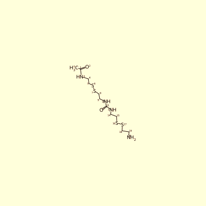 CC(=O)NCCSSCCNC(=O)NCCSSCCN